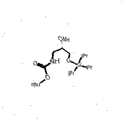 CO[C@@H](CNC(=O)OC(C)(C)C)CO[Si](C(C)C)(C(C)C)C(C)C